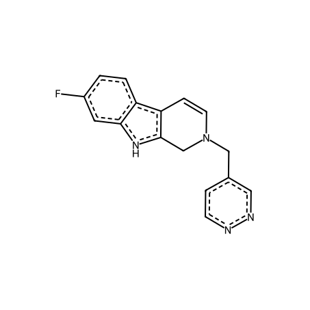 Fc1ccc2c3c([nH]c2c1)CN(Cc1ccnnc1)C=C3